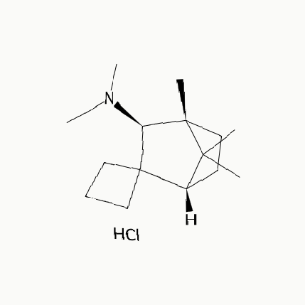 CN(C)[C@@H]1C2(CCC2)[C@H]2CC[C@]1(C)C2(C)C.Cl